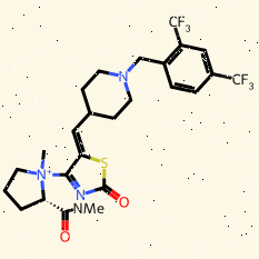 CNC(=O)[C@@H]1CCC[N+]1(C)C1=NC(=O)S/C1=C\C1CCN(Cc2ccc(C(F)(F)F)cc2C(F)(F)F)CC1